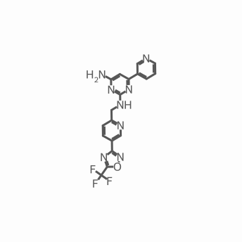 Nc1cc(-c2cccnc2)nc(NCc2ccc(-c3noc(C(F)(F)F)n3)cn2)n1